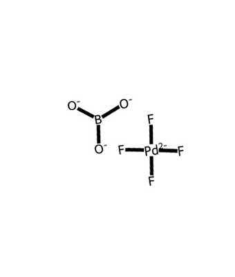 [F][Pd-2]([F])([F])[F].[O-]B([O-])[O-]